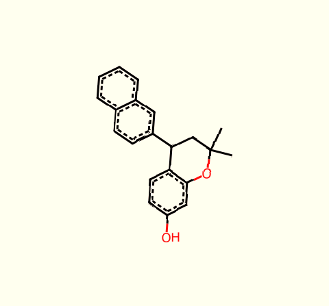 CC1(C)CC(c2ccc3ccccc3c2)c2ccc(O)cc2O1